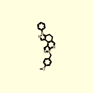 COc1ccc(Cn2ncc3c4c(cnc32)CCc2c-4cnn2-c2ccccc2)cc1